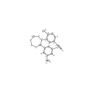 Cc1cc(N2CCCOCC2c2cc(C#N)ccc2Cl)nc(N)n1